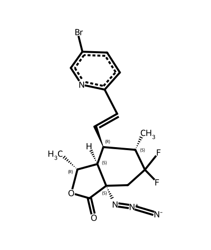 C[C@H]1OC(=O)[C@]2(N=[N+]=[N-])CC(F)(F)[C@@H](C)[C@H](C=Cc3ccc(Br)cn3)[C@H]12